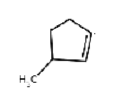 CC1C=[C]CC1